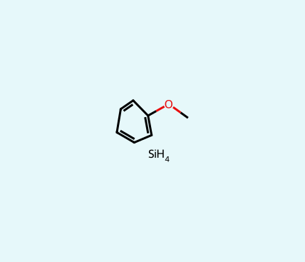 COc1ccccc1.[SiH4]